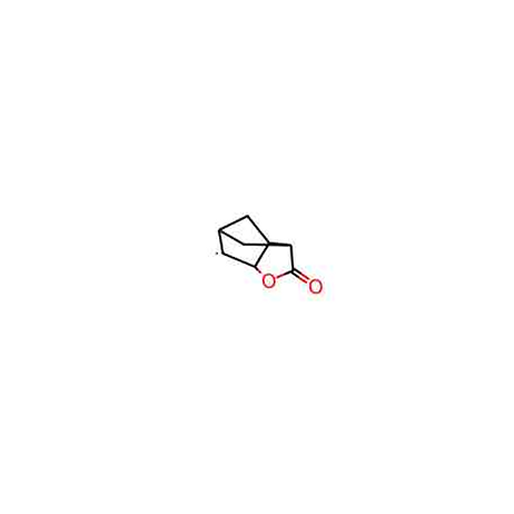 O=C1OC2[CH]C3CC1C2C3